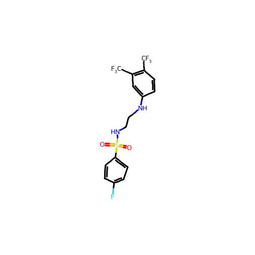 O=S(=O)(NCCNc1ccc(C(F)(F)F)c(C(F)(F)F)c1)c1ccc(F)cc1